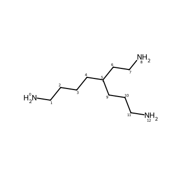 NCCCC[C](CCN)CCCN